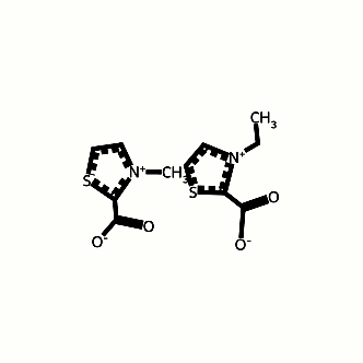 CC[n+]1ccsc1C(=O)[O-].C[n+]1ccsc1C(=O)[O-]